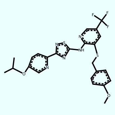 COc1ccc(CSc2cc(C(F)(F)F)cnc2Nc2nc(-c3ccc(OC(C)C)cn3)ns2)cc1